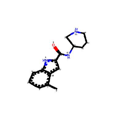 Cc1cccc2[nH]c(C(=O)NC3CCCNC3)cc12